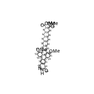 COC(=O)CCCCCCCCCCCc1cc(-c2cc3c(cc2-c2ccc(OC)c(CCCCCCCCCCCC(=O)OC)c2)CC(=O)NN=C3)ccc1OC